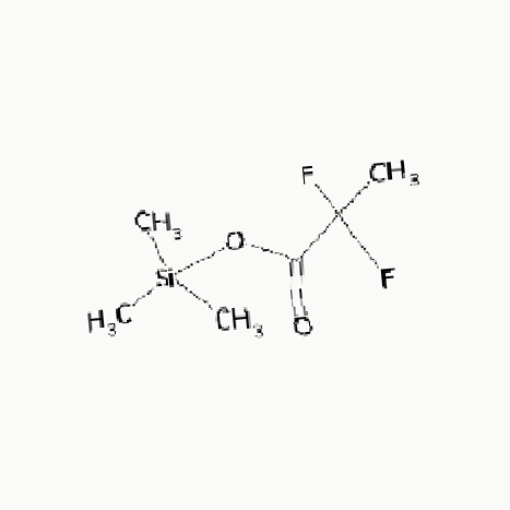 CC(F)(F)C(=O)O[Si](C)(C)C